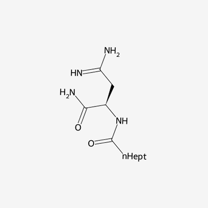 CCCCCCCC(=O)N[C@H](CC(=N)N)C(N)=O